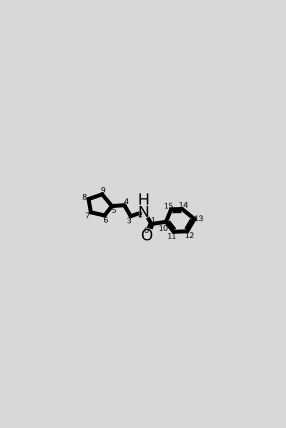 O=C(NCCC1CCCC1)c1ccccc1